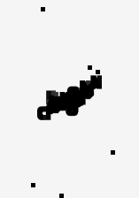 N#Cc1ccc(N2CCC(O)(C(=O)NCc3cc(F)cc(Cl)c3)C2=O)cn1